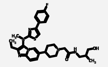 CCc1nc2ccc(C3CCN(CC(=O)NCC(C)CO)CC3)cn2c1N(C)c1nc(-c2ccc(F)cc2)cs1